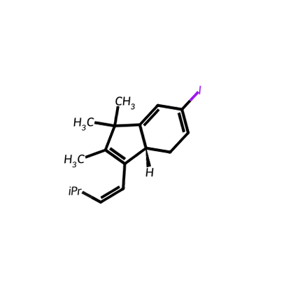 CC1=C(/C=C\C(C)C)[C@H]2CC=C(I)C=C2C1(C)C